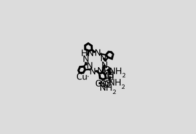 NS(=O)(=O)c1cc2c3nc4nc(nc5[nH]c(nc6nc(nc([nH]3)c2c(S(N)(=O)=O)c1S(N)(=O)=O)-c1ccccc1-6)c1ccccc51)-c1ccccc1-4.[Cu]